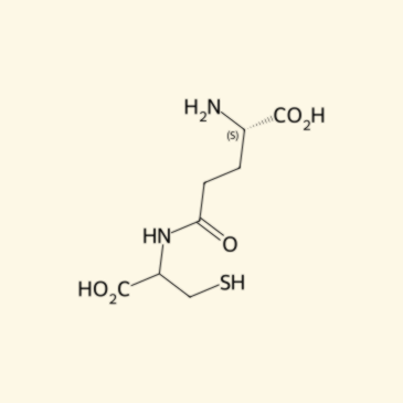 N[C@@H](CCC(=O)NC(CS)C(=O)O)C(=O)O